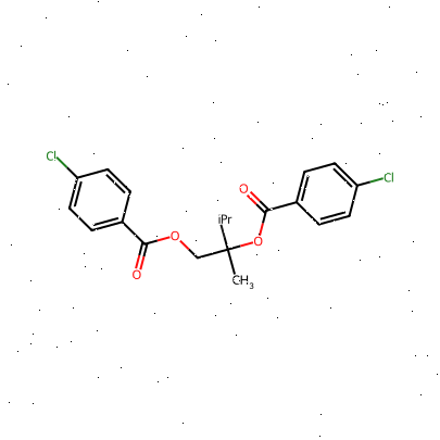 CC(C)C(C)(COC(=O)c1ccc(Cl)cc1)OC(=O)c1ccc(Cl)cc1